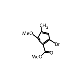 COC(=O)c1cc(OC)c(C)cc1Br